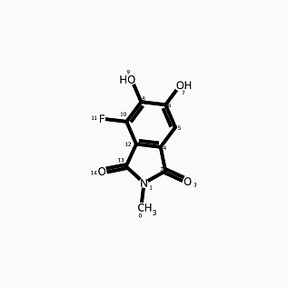 CN1C(=O)c2cc(O)c(O)c(F)c2C1=O